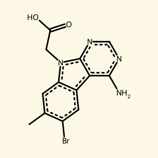 Cc1cc2c(cc1Br)c1c(N)ncnc1n2CC(=O)O